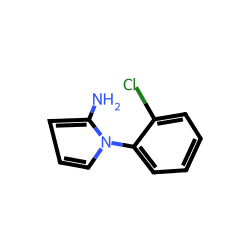 Nc1cccn1-c1ccccc1Cl